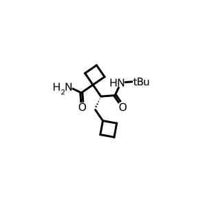 CC(C)(C)NC(=O)[C@H](CC1CCC1)C1(C(N)=O)CCC1